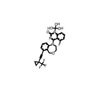 O=c1nc(N2CCOCc3c(C#CC4(C(F)(F)F)CC4)cccc32)c2c(F)cccc2n1C(O)(O)O